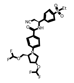 CCS(=O)(=O)c1ccc([C@H](CC#N)NC(=O)c2ccc(N3C[C@@H](OC(F)F)C[C@H]3COC(F)F)cc2)cc1